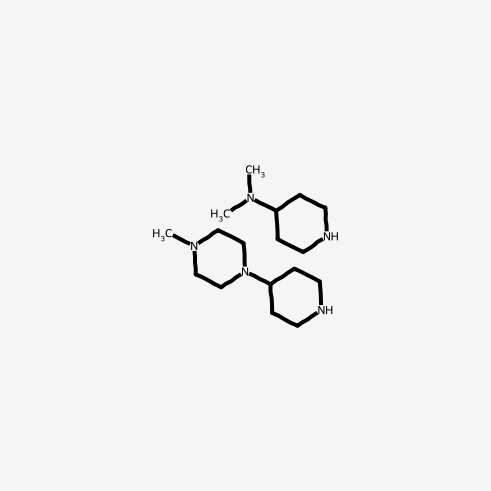 CN(C)C1CCNCC1.CN1CCN(C2CCNCC2)CC1